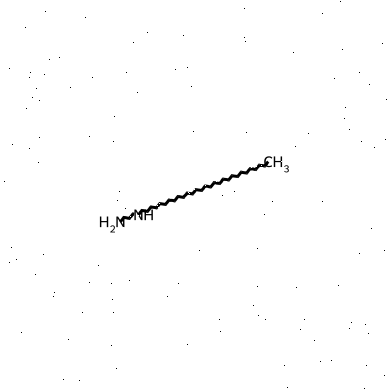 CCCCCCCCCCCCCCCCCCCCCCCCCCCCCNCCCN